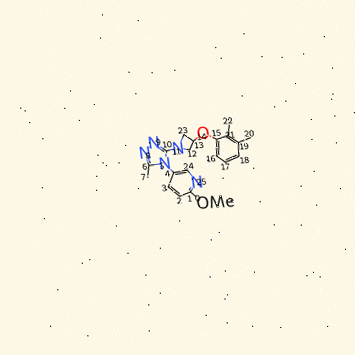 COc1ccc(-n2c(C)nnc2N2CC(Oc3cccc(C)c3C)C2)cn1